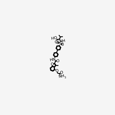 Cc1c(C(=O)Nc2ccc(-c3ccc(S(=O)(=O)N[C@H](C(=O)O)C(C)C)cc3)cc2)oc2cccc(OCC(N)=O)c12